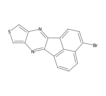 Brc1ccc2c3c(cccc13)-c1nc3cscc3nc1-2